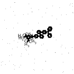 C/C=C(/C)c1cc(C(C)(C)C)cc2nc(-c3ccc(-c4ccccc4-c4ccccc4-c4ccc(N(C5=CCCC=C5)c5ccccc5)cc4)cc3)oc12